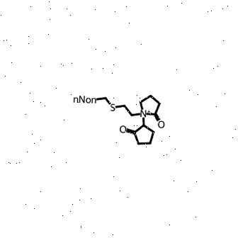 CCCCCCCCCCSCC[N+]1(C2CCCC2=O)CCCC1=O